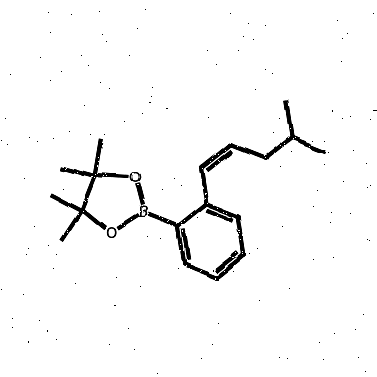 CC(C)C/C=C\c1ccccc1B1OC(C)(C)C(C)(C)O1